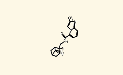 CC1(C)C2CC[C@@H](CNC(=O)c3cccc4nc(C(F)(F)F)cn34)C1C2